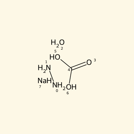 NN.O.O=C(O)O.[NaH]